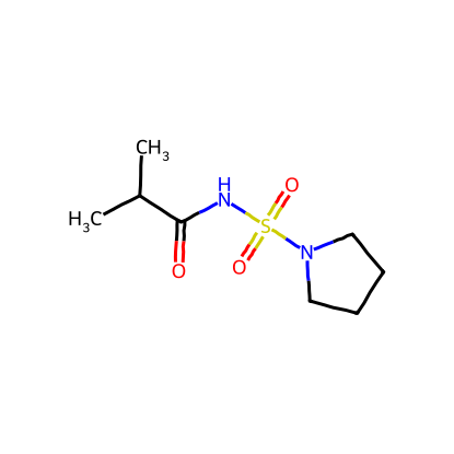 CC(C)C(=O)NS(=O)(=O)N1CCCC1